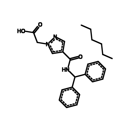 CCCCCC.O=C(O)Cn1cc(C(=O)NC(c2ccccc2)c2ccccc2)cn1